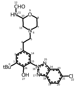 CC(C)(C)c1cc(CCN2CCOC(NC=O)C2)cc(-n2nc3ccc(Cl)cc3n2)c1O